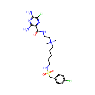 C[N+](C)(CCCCCNS(=O)(=O)Cc1ccc(Cl)cc1)CCNC(=O)c1nc(Cl)c(N)nc1N